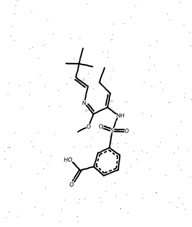 CC\C=C(NS(=O)(=O)c1cccc(C(=O)O)c1)/C(=N\C=C\C(C)(C)C)OC